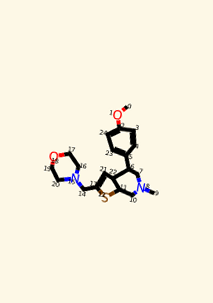 COc1ccc(C2CN(C)CC3SC(CN4CCOCC4)=CC32)cc1